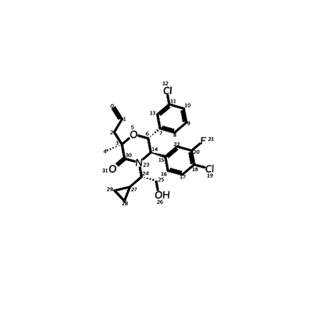 C=CC[C@@]1(C)O[C@H](c2cccc(Cl)c2)[C@@H](c2ccc(Cl)c(F)c2)N([C@H](CO)C2CC2)C1=O